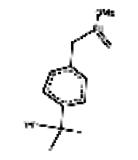 C=[PH](Cc1ccc(C(C)(C)CCC)cc1)OC